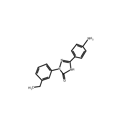 CCc1cccc(-n2nc(-c3ccc(N)cc3)[nH]c2=O)c1